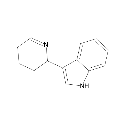 C1=NC(c2c[nH]c3ccccc23)CCC1